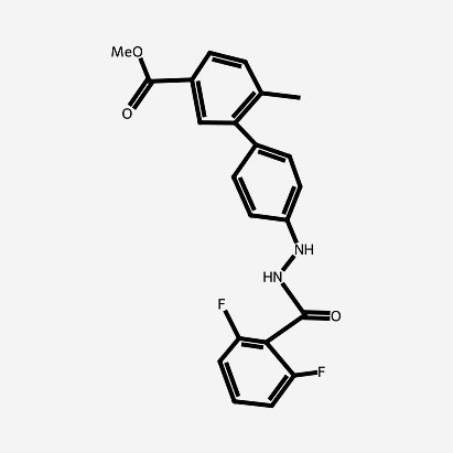 COC(=O)c1ccc(C)c(-c2ccc(NNC(=O)c3c(F)cccc3F)cc2)c1